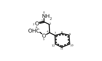 NC(=O)CC(OC=O)c1ccccc1